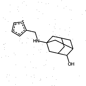 OC1C2CC3CC1CC(NCc1cccs1)(C3)C2